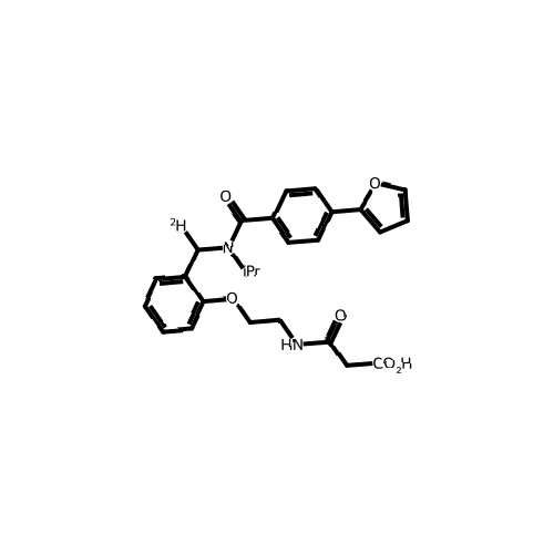 [2H]C(c1ccccc1OCCNC(=O)CC(=O)O)N(C(=O)c1ccc(-c2ccco2)cc1)C(C)C